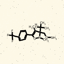 CC1=C(c2ccc(C(F)(F)F)cc2)ON(C)C1(CO[SiH3])C(C)(C)C